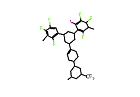 Cc1c(F)c(F)cc(C2CC(C3=CCC(C4CC(C)CC(C(F)(F)F)C4)CC3)CC(C3=C(F)C(C)C(F)C(F)=C3I)C2)c1F